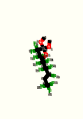 CO[Si](OC)(OC)C(F)(F)C(F)(F)C(F)(F)C(F)(F)C(F)CC(F)(F)F